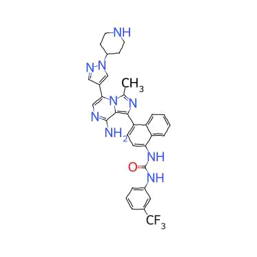 Cc1nc(-c2ccc(NC(=O)Nc3cccc(C(F)(F)F)c3)c3ccccc23)c2c(N)ncc(-c3cnn(C4CCNCC4)c3)n12